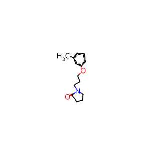 Cc1[c]ccc(OCCCN2CCCC2=O)c1